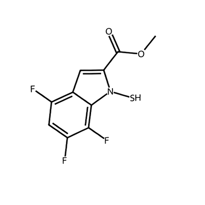 COC(=O)c1cc2c(F)cc(F)c(F)c2n1S